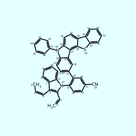 C=Cc1c(/C=C\C)c2ccccc2n1-c1ccc(C#N)cc1-c1ccc2c(c1)c1c3sc4ccccc4c3ccc1n2-c1ccccc1